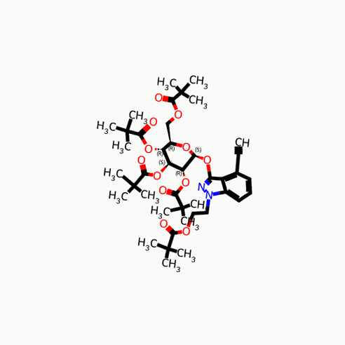 C#Cc1cccc2c1c(O[C@@H]1O[C@H](COC(=O)C(C)(C)C)[C@@H](OC(=O)C(C)(C)C)[C@H](OC(=O)C(C)(C)C)[C@H]1OC(=O)C(C)(C)C)nn2CCOC(=O)C(C)(C)C